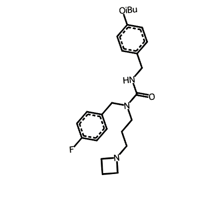 CC(C)COc1ccc(CNC(=O)N(CCCN2CCC2)Cc2ccc(F)cc2)cc1